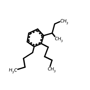 CCCCc1cccc(C(C)CC)c1CCCC